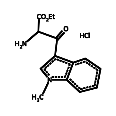 CCOC(=O)C(N)C(=O)c1cn(C)c2ccccc12.Cl